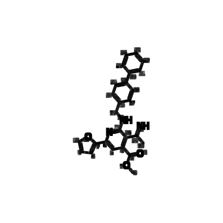 COC(=O)c1cc(-c2ccco2)nc(NCc2ccc(-c3ccccc3)cc2)c1C(C)=N